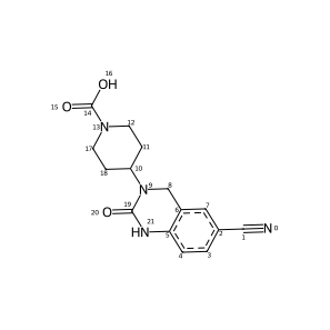 N#Cc1ccc2c(c1)CN(C1CCN(C(=O)O)CC1)C(=O)N2